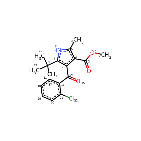 COC(=O)c1c(C)[nH]c(C(C)(C)C)c1C(=O)c1ccccc1Cl